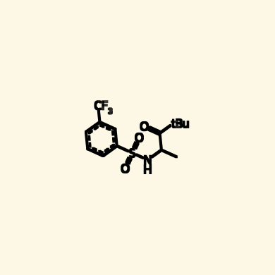 CC(NS(=O)(=O)c1cccc(C(F)(F)F)c1)C(=O)C(C)(C)C